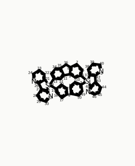 c1ccc([Si]2(c3ccc4c(c3)-c3cc([Si]5(c6ccccc6)c6cccnc6-c6cccnc65)ccc3C4)c3cccnc3-c3cccnc32)cc1